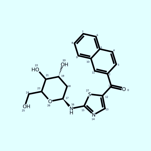 O=C(c1ccc2ccccc2c1)c1cnc(N[C@@H]2C[C@@H](O)C(O)C(CO)O2)s1